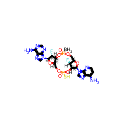 BP1(=O)OC[C@H]2O[C@@H](n3cnc4c(N)ccnc43)[C@H](OP(=O)(S)OC[C@H]3O[C@@H](n4cnc5c(N)ncnc54)[C@H](F)[C@@H]3O1)[C@H]2F